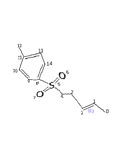 C/C=C/CCS(=O)(=O)c1ccc(C)cc1